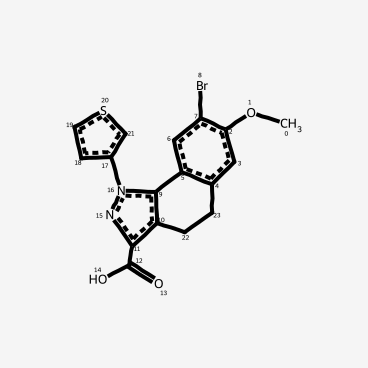 COc1cc2c(cc1Br)-c1c(c(C(=O)O)nn1-c1ccsc1)CC2